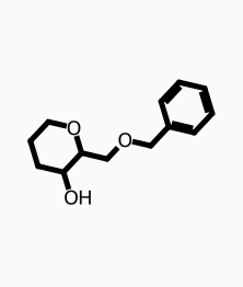 OC1CCCOC1COCc1ccccc1